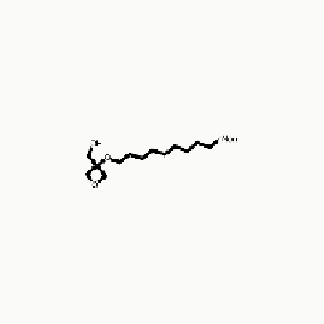 CCCCCCCCCCCCCCCCCCOC1(CO)COC1